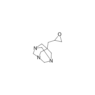 C1OC1CC12CN3CN(CN(C3)C1)C2